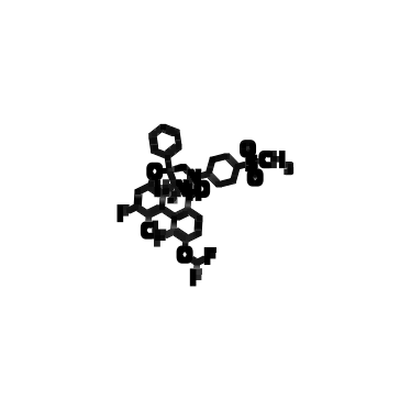 CS(=O)(=O)C1CCC(NC[C@@]2(c3ccccc3)Cc3c(cc(F)c(Cl)c3-c3c(C(N)=O)ccc(OC(F)F)c3F)O2)CC1